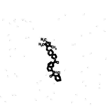 Cc1nn(C)c(C)c1CN1CCC2(CC1)CCN(C(=O)c1ccc3c(c1)C(NC(=O)c1ccccc1Cl)CC3)C2